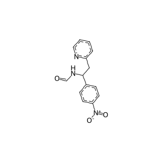 O=CNC(Cc1ccccn1)c1ccc([N+](=O)[O-])cc1